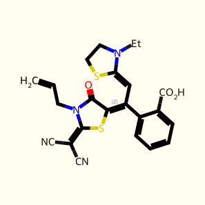 C=CCn1c(=C(C#N)C#N)s/c(=C(/C=C2SCCN2CC)c2ccccc2C(=O)O)c1=O